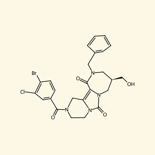 O=C(c1ccc(Br)c(Cl)c1)N1CCn2c(c3n(c2=O)C[C@H](CO)CN(Cc2ccccc2)C3=O)C1